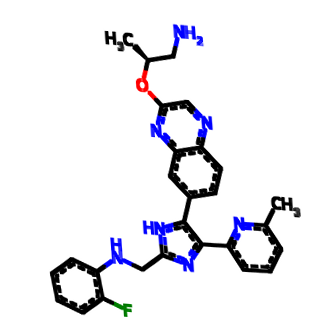 Cc1cccc(-c2nc(CNc3ccccc3F)[nH]c2-c2ccc3ncc(O[C@@H](C)CN)nc3c2)n1